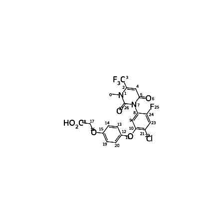 Cn1c(C(F)(F)F)cc(=O)n(-c2cc(Oc3ccc(OCC(=O)O)cc3)c(Cl)cc2F)c1=O